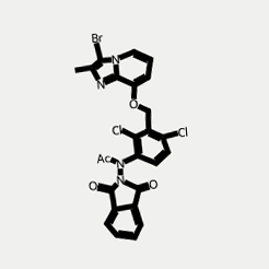 CC(=O)N(c1ccc(Cl)c(COc2cccn3c(Br)c(C)nc23)c1Cl)N1C(=O)c2ccccc2C1=O